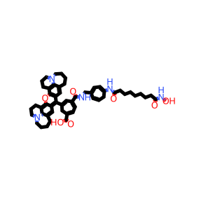 O=C(CCCCCCCC(=O)NC1=CC=C(CNC(=O)C2=CC=C(C(=O)O)CC(C3=c4cc5c6c(c4Oc4c3cc3c7c4CCCN7CCCC3)CCC[N+]=6CCCC5)=C2)C=CC1)NO